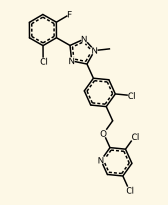 Cn1nc(-c2c(F)cccc2Cl)nc1-c1ccc(COc2ncc(Cl)cc2Cl)c(Cl)c1